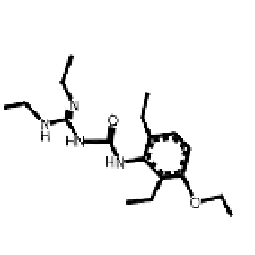 CCN=C(NCC)NC(=O)Nc1c(CC)ccc(OCC)c1CC